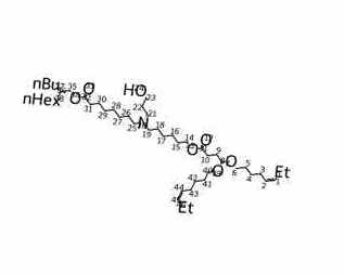 CC/C=C\CCCCOC(CCC(=O)OCCCCCCN(CCCO)CCCCCCCC(=O)OCC(CCCC)CCCCCC)OCCCC/C=C\CC